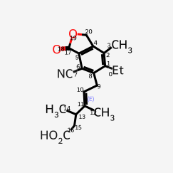 CCc1c(C)c2c(c(C#N)c1C/C=C(\C)C(C)CC(=O)O)C(=O)OC2